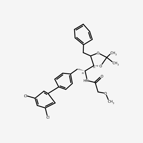 COCC(=O)N[C@H](Cc1ccc(-c2cc(Cl)cc(Cl)c2)cc1)[C@H]1OC(C)(C)OC1Cc1ccccc1